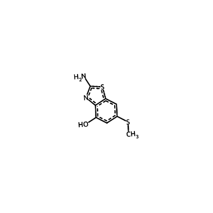 CSc1cc(O)c2nc(N)sc2c1